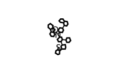 c1ccc(-c2cc(N(c3ccc(-c4cccc5ccccc45)cc3)c3cccc4c3oc3ccccc34)ccc2-c2cccc3c2sc2ccccc23)cc1